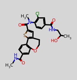 CNC(=O)c1ccc2c(c1)OCCc1cc(C(=O)N(C)c3ccc(C(=O)NCC(C)O)cc3Cl)sc1-2